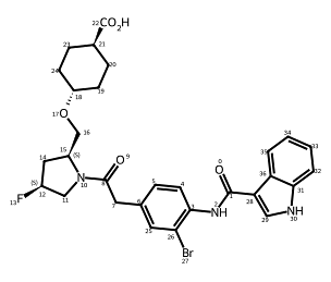 O=C(Nc1ccc(CC(=O)N2C[C@@H](F)C[C@H]2CO[C@H]2CC[C@H](C(=O)O)CC2)cc1Br)c1c[nH]c2ccccc12